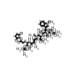 C/C(=C\CN(C)C(=O)C(NC(=O)[C@@H](N(C)C(=O)OC(C)(C)C)C(C)(C)c1cn(C)c2ccccc12)C(C)(C)C)C(=O)N[C@H](CCC(=O)ON1C(=O)CCC1=O)C(=O)OC(C)(C)C